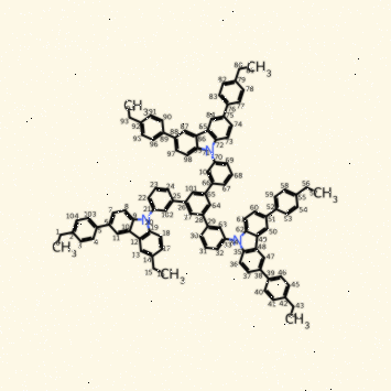 CCc1ccc(-c2ccc3c(c2)c2cc(CC)ccc2n3-c2cccc(-c3cc(-c4cccc(-n5c6ccc(-c7ccc(CC)cc7)cc6c6cc(-c7ccc(CC)cc7)ccc65)c4)cc(-c4cccc(-n5c6ccc(-c7ccc(CC)cc7)cc6c6cc(-c7ccc(CC)cc7)ccc65)c4)c3)c2)cc1